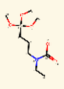 CCN(CCC[Si](OC)(OC)OC)C(=O)O